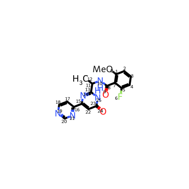 COc1cccc(F)c1C(=O)NC(C)c1nc(-c2ccncn2)cc(=O)[nH]1